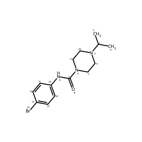 CC(C)N1CCN(C(=O)Nc2ccc(Br)cc2)CC1